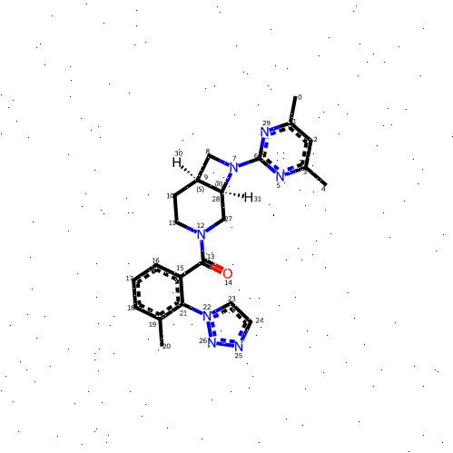 Cc1cc(C)nc(N2C[C@@H]3CCN(C(=O)c4cccc(C)c4-n4ccnn4)C[C@@H]32)n1